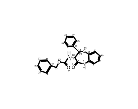 O=C(N[C@H]1C(=O)Nc2ccccc2S[C@@H]1c1ccccc1)OCc1ccccc1